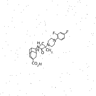 CC(C)(C(=O)NC1C2CC3CC1CC(C(=O)O)(C3)C2)N1CCN(c2ccc(F)cc2F)CC1